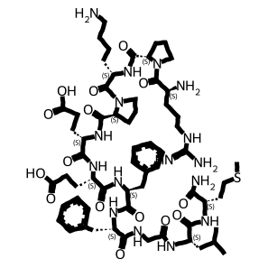 CSCC[C@H](NC(=O)[C@H](CC(C)C)NC(=O)CNC(=O)[C@H](Cc1ccccc1)NC(=O)[C@H](Cc1ccccc1)NC(=O)[C@H](CCC(=O)O)NC(=O)[C@H](CCC(=O)O)NC(=O)[C@@H]1CCCN1C(=O)[C@H](CCCCN)NC(=O)[C@@H]1CCCN1C(=O)[C@@H](N)CCCNC(=N)N)C(N)=O